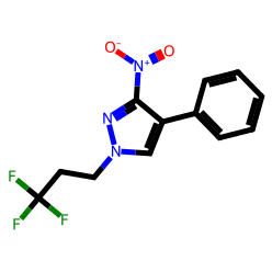 O=[N+]([O-])c1nn(CCC(F)(F)F)cc1-c1ccccc1